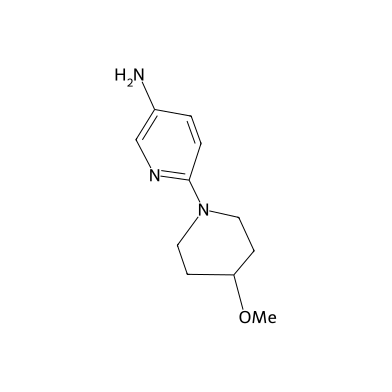 COC1CCN(c2ccc(N)cn2)CC1